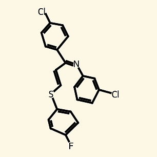 Fc1ccc(SC=CC(=Nc2cccc(Cl)c2)c2ccc(Cl)cc2)cc1